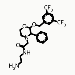 NCCNC(=O)CN1CCOC(OCc2cc(C(F)(F)F)cc(C(F)(F)F)c2)C1c1ccccc1